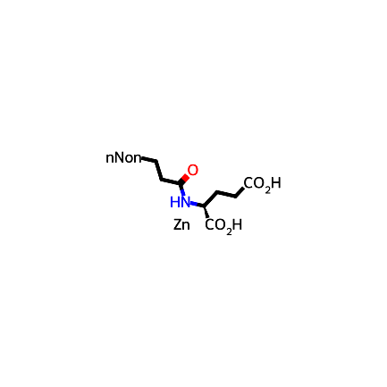 CCCCCCCCCCCC(=O)N[C@@H](CCC(=O)O)C(=O)O.[Zn]